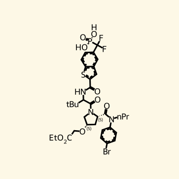 CCCN(C(=O)[C@@H]1C[C@H](OCC(=O)OCC)CN1C(=O)C(NC(=O)c1cc2cc(C(F)(F)P(=O)(O)O)ccc2s1)C(C)(C)C)c1ccc(Br)cc1